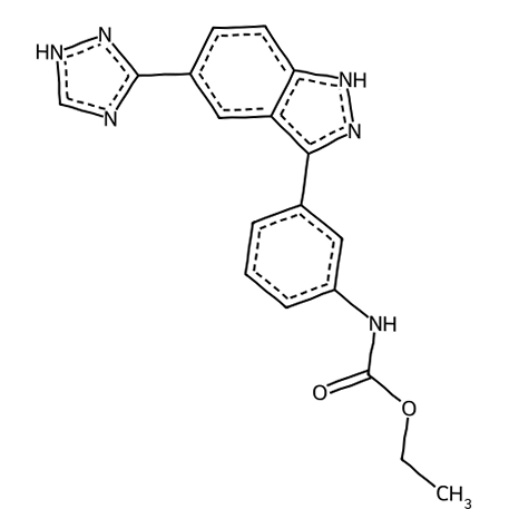 CCOC(=O)Nc1cccc(-c2n[nH]c3ccc(-c4nc[nH]n4)cc23)c1